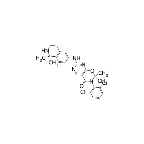 CC1(C)NCCc2cc(Nc3ncc4c(n3)OC(C)(C)N(c3c(Cl)cccc3Cl)C4=O)ccc21